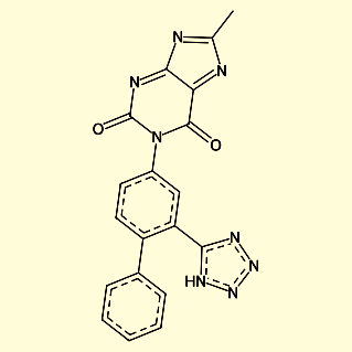 CC1=NC2=NC(=O)N(c3ccc(-c4ccccc4)c(-c4nnn[nH]4)c3)C(=O)C2=N1